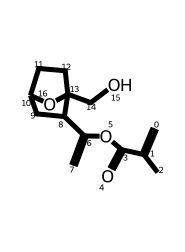 C=C(C)C(=O)OC(=C)C1CC2CCC1(CO)O2